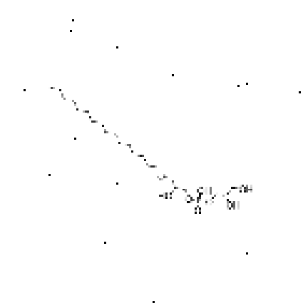 CCCCCCCCCCCCCCCCOCC(O)COP(=O)(O)OCC(O)CO